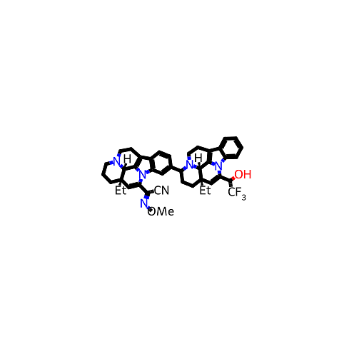 CC[C@@]12C=C(/C(C#N)=N/OC)n3c4c(c5ccc(C6CC[C@@]7(CC)C=C(C(O)C(F)(F)F)n8c9c(c%10ccccc%108)CCN6[C@H]97)cc53)CCN(CCC1)[C@H]42